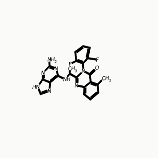 Cc1cccc2nc(C(C)Nc3nc(N)nc4[nH]cnc34)n(-c3c(F)cccc3F)c(=O)c12